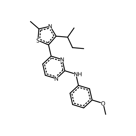 CCC(C)c1nc(C)sc1-c1ccnc(Nc2cccc(OC)c2)n1